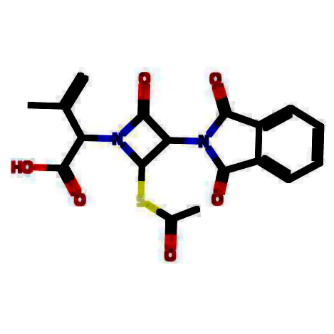 C=C(C)C(C(=O)O)N1C(=O)C(N2C(=O)c3ccccc3C2=O)C1SC(C)=O